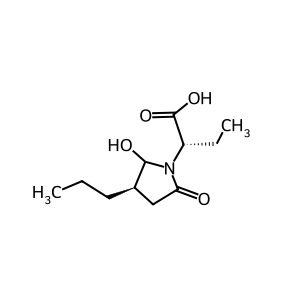 CCC[C@@H]1CC(=O)N([C@@H](CC)C(=O)O)C1O